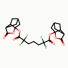 O=C1OC2(OC(=O)C(F)(F)CCCC(F)(F)C(=O)OC34CC5CC(C(=O)O3)C4C5)CC3CC1C2C3